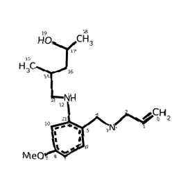 C=CC[N]Cc1ccc(OC)cc1NCC(C)CC(C)O